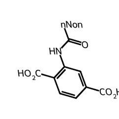 CCCCCCCCCC(=O)Nc1cc(C(=O)O)ccc1C(=O)O